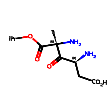 CC(C)OC(=O)[C@@](C)(N)C(=O)[C@H](N)CC(=O)O